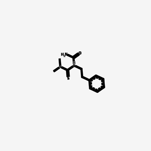 CN(C)C(=S)[SH](CCc1ccccc1)C(N)=O